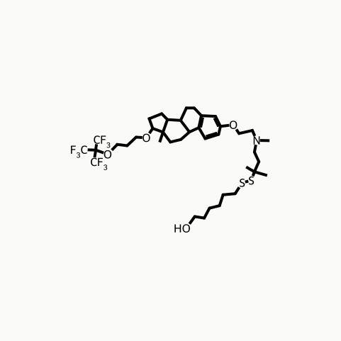 CN(CCOc1ccc2c(c1)CCC1C2CCC2(C)C(OCCCOC(C(F)(F)F)(C(F)(F)F)C(F)(F)F)CCC12)CCC(C)(C)SSCCCCCCO